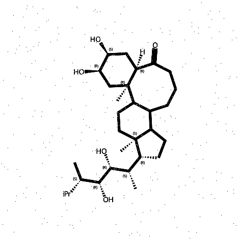 CC(C)[C@H](C)[C@@H](O)[C@H](O)[C@@H](C)[C@H]1CCC2C3CCCC(=O)[C@@H]4C[C@H](O)[C@H](O)C[C@]4(C)C3CC[C@@]21C